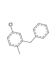 Cc1ccc(Cl)cc1Cc1ccccc1